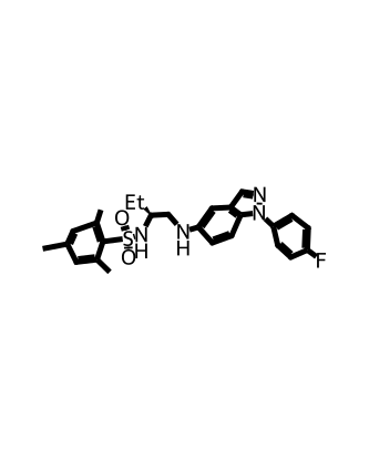 CC[C@@H](CNc1ccc2c(cnn2-c2ccc(F)cc2)c1)NS(=O)(=O)c1c(C)cc(C)cc1C